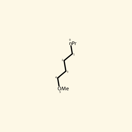 CCCCCC[CH]OC